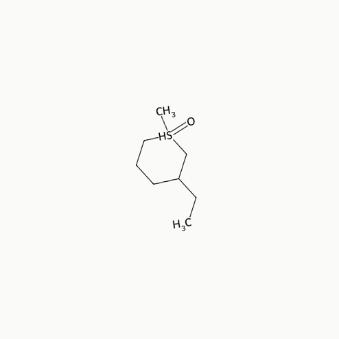 CCC1CCC[SH](C)(=O)C1